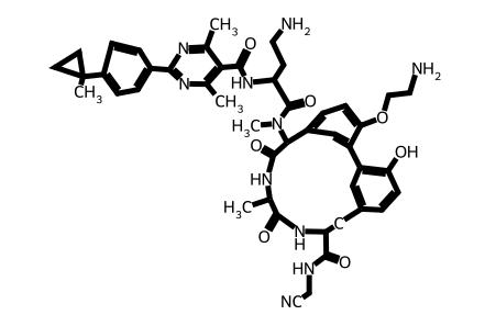 Cc1nc(-c2ccc(C3(C)CC3)cc2)nc(C)c1C(=O)NC(CCN)C(=O)N(C)C1C(=O)NC(C)C(=O)NC(C(=O)NCC#N)Cc2ccc(O)c(c2)-c2cc1ccc2OCCN